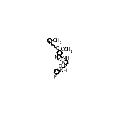 [CH2][C@@H]1CCCN1CCCOc1cc2ncnc(Nc3ccn(CC(=O)Nc4cccc(F)c4)n3)c2cc1OC